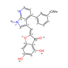 COc1cccc(-c2ccnc3c2c(C=C2Oc4cc(O)cc(O)c4C2=O)cn3C)c1